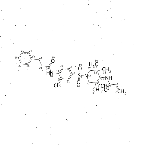 C=CC(=O)NC1C(C)(C)CN(S(=O)(=O)c2ccc(NC(=O)CCc3ccccc3)c(Cl)c2)CC1(C)C